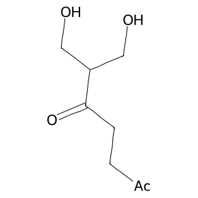 CC(=O)CCC(=O)C(CO)CO